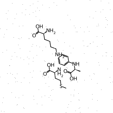 CSCC[C@H](N)C(=O)O.C[C@H](Nc1ccccc1)C(=O)O.NCCCC[C@H](N)C(=O)O